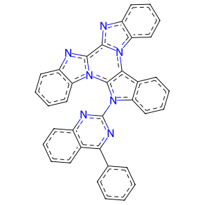 c1ccc(-c2nc(-n3c4ccccc4c4c3n3c5ccccc5nc3c3nc5ccccc5n34)nc3ccccc23)cc1